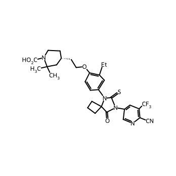 CCc1cc(N2C(=S)N(c3cnc(C#N)c(C(F)(F)F)c3)C(=O)C23CCC3)ccc1OCC[C@H]1CCN(C(=O)O)C(C)(C)C1